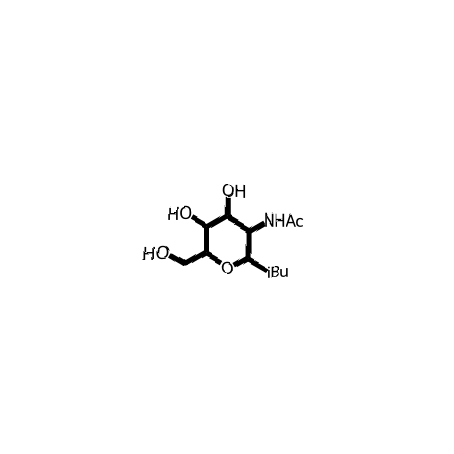 CCC(C)C1OC(CO)C(O)C(O)C1NC(C)=O